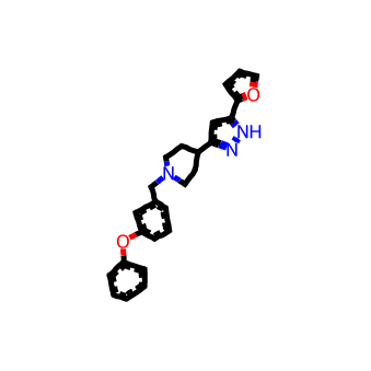 c1ccc(Oc2cccc(CN3CCC(c4cc(-c5ccco5)[nH]n4)CC3)c2)cc1